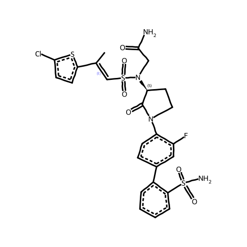 C/C(=C\S(=O)(=O)N(CC(N)=O)[C@H]1CCN(c2ccc(-c3ccccc3S(N)(=O)=O)cc2F)C1=O)c1ccc(Cl)s1